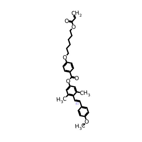 C=CC(=O)OCCCCCCOc1ccc(C(=O)Oc2cc(C)c(/C=C/c3ccc(OC)cc3)c(C)c2)cc1